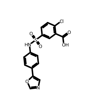 O=C(O)c1cc(S(=O)(=O)Nc2ccc(-c3cnco3)cc2)ccc1Cl